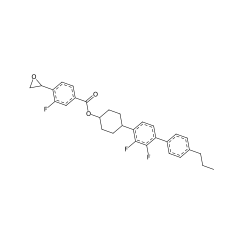 CCCc1ccc(-c2ccc(C3CCC(OC(=O)c4ccc(C5CO5)c(F)c4)CC3)c(F)c2F)cc1